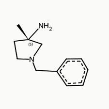 C[C@]1(N)CCN(Cc2ccccc2)C1